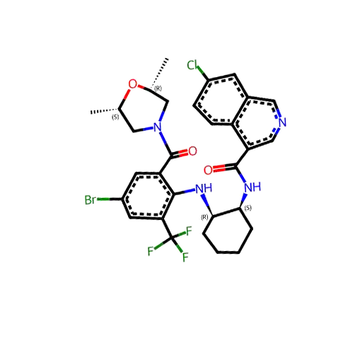 C[C@@H]1CN(C(=O)c2cc(Br)cc(C(F)(F)F)c2N[C@@H]2CCCC[C@@H]2NC(=O)c2cncc3cc(Cl)ccc23)C[C@H](C)O1